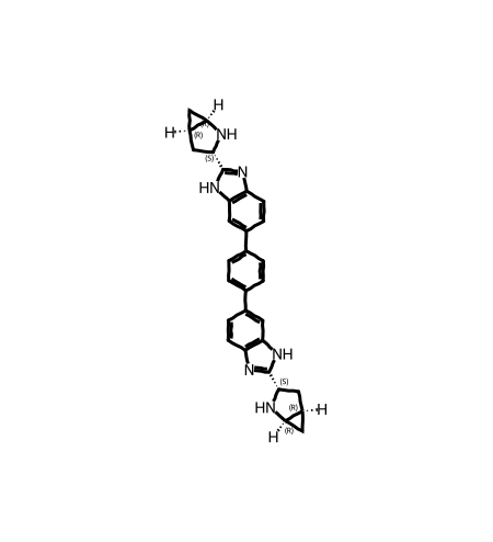 c1cc(-c2ccc3nc([C@@H]4C[C@H]5C[C@H]5N4)[nH]c3c2)ccc1-c1ccc2nc([C@@H]3C[C@H]4C[C@H]4N3)[nH]c2c1